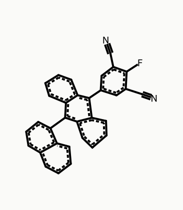 N#Cc1cc(-c2c3ccccc3c(-c3cccc4ccccc34)c3ccccc23)cc(C#N)c1F